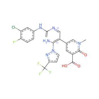 C=C(/N=C\C(=C(/N)n1ccc(C(F)(F)F)n1)c1cc(C(=O)O)c(=O)n(C)c1)Nc1ccc(F)c(Cl)c1